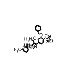 CCS(=O)(=O)NC1=CC=C(c2n[nH]c(Nc3cccc(C(F)(F)F)n3)c2C(N)=O)CC1OCc1ccccc1